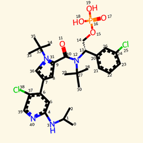 CC(C)Nc1cc(-c2cc(C(=O)N([C@H](COP(=O)(O)O)c3cccc(Cl)c3)C(C)(C)C)n(C(C)(C)C)c2)c(Cl)cn1